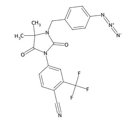 CC1(C)C(=O)N(c2ccc(C#N)c(C(F)(F)F)c2)C(=O)N1Cc1ccc(N=[N+]=[N-])cc1